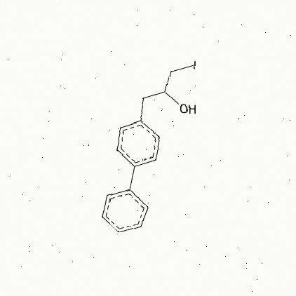 OC(CI)Cc1ccc(-c2ccccc2)cc1